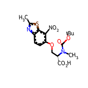 Cc1nc2ccc(OC[C@@H](C(=O)O)N(C)C(=O)OC(C)(C)C)c([N+](=O)[O-])c2s1